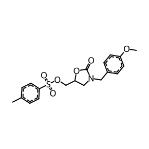 COc1ccc(CN2CC(COS(=O)(=O)c3ccc(C)cc3)OC2=O)cc1